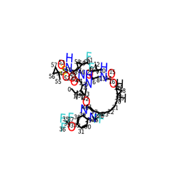 CC[C@@H]1[C@@H]2CN(C(=O)[C@H](C(C)(C)C)NC(=O)O[C@@H]3C[C@H]3CCCCC(F)(F)c3nc4ccc(OC(F)(F)F)cc4nc3O2)[C@@H]1C(=O)N[C@]1(C(=O)NS(=O)(=O)C2(C)CC2)CC1C(F)F